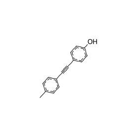 Cc1ccc(C#Cc2ccc(O)cc2)cc1